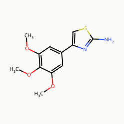 COc1cc(-c2csc(N)n2)cc(OC)c1OC